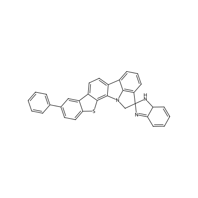 C1=CC2=NC3(Cn4c5c3cccc5c3ccc5c6cc(-c7ccccc7)ccc6sc5c34)NC2C=C1